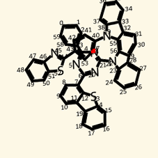 c1ccc(-c2nc(-c3cccc4c3sc3ccccc34)nc(-n3c4ccccc4c4ccc5c6ccccc6n(-c6ccc(-c7nc8ccccc8s7)cc6)c5c43)n2)cc1